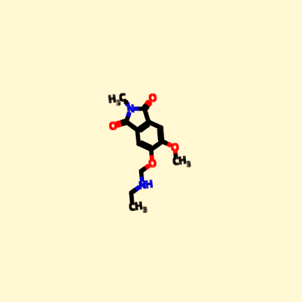 CCNCOc1cc2c(cc1OC)C(=O)N(C)C2=O